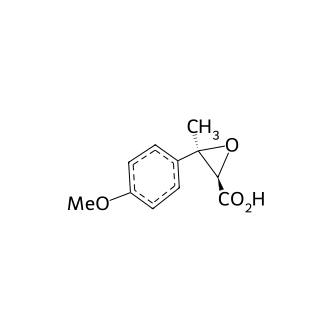 COc1ccc([C@@]2(C)O[C@H]2C(=O)O)cc1